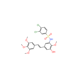 COc1cc(C=Cc2cc(O)c(OC)c(NS(=O)(=O)c3ccc(Cl)c(Cl)c3)c2)cc(OC)c1OC